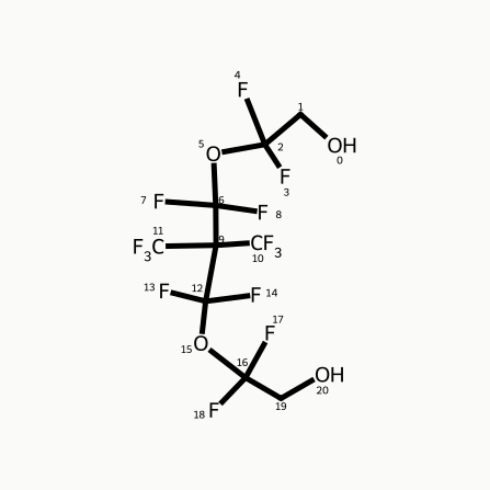 OCC(F)(F)OC(F)(F)C(C(F)(F)F)(C(F)(F)F)C(F)(F)OC(F)(F)CO